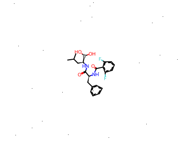 CC(C)C[C@H](NC(=O)[C@H](Cc1ccccc1)NC(=O)c1c(F)cccc1F)B(O)O